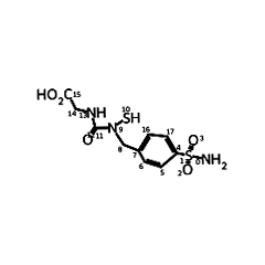 NS(=O)(=O)c1ccc(CN(S)C(=O)NCC(=O)O)cc1